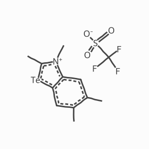 Cc1cc2[te]c(C)[n+](C)c2cc1C.O=S(=O)([O-])C(F)(F)F